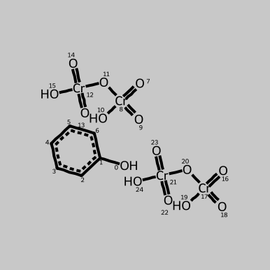 Oc1ccccc1.[O]=[Cr](=[O])([OH])[O][Cr](=[O])(=[O])[OH].[O]=[Cr](=[O])([OH])[O][Cr](=[O])(=[O])[OH]